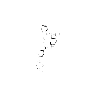 CN1CCN(Cc2ccc(C(=O)Nc3ccc(Cl)c(NC(=O)c4ccccc4)c3)cn2)CC1